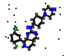 Fc1ccc(Cl)cc1-c1nccc2cnc(Nc3ccc(N4CCNCC4)cc3)nc12